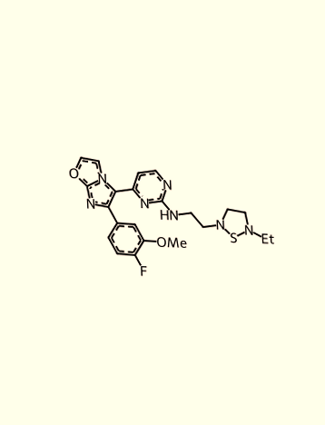 CCN1CCN(CCNc2nccc(-c3c(-c4ccc(F)c(OC)c4)nc4occn34)n2)S1